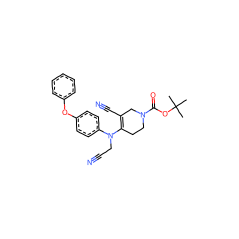 CC(C)(C)OC(=O)N1CCC(N(CC#N)c2ccc(Oc3ccccc3)cc2)=C(C#N)C1